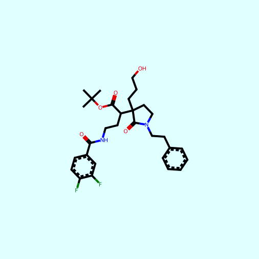 CC(C)(C)OC(=O)C(CCNC(=O)c1ccc(F)c(F)c1)C1(CCCO)CCN(CCc2ccccc2)C1=O